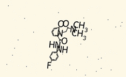 CN(C)C(=O)Cn1c(C(=O)NNc2ccc(F)cc2)cccc1=O